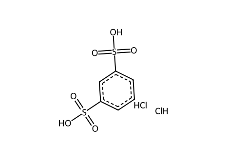 Cl.Cl.O=S(=O)(O)c1cccc(S(=O)(=O)O)c1